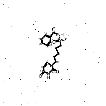 C[C@@H](NS(=O)(=O)CCCCCn1ccc(=O)[nH]c1=O)c1ccccc1